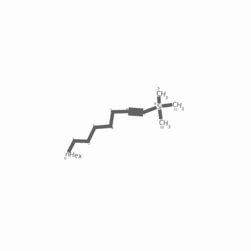 CCCCCCCCCCCC#C[Si](C)(C)C